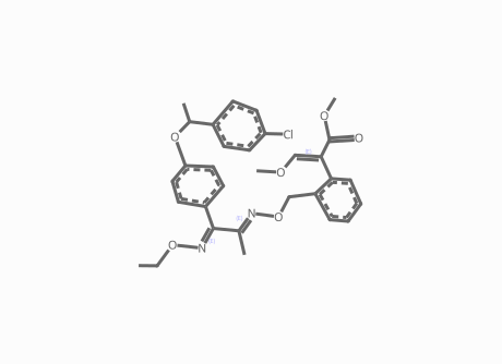 CCO/N=C(/C(C)=N/OCc1ccccc1/C(=C\OC)C(=O)OC)c1ccc(OC(C)c2ccc(Cl)cc2)cc1